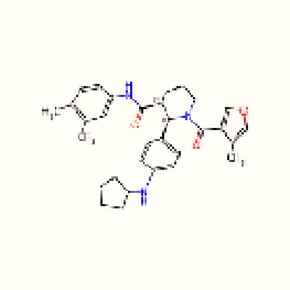 Cc1cocc1C(=O)N1CCC[C@H](C(=O)Nc2ccc(C)c(C(F)(F)F)c2)[C@@H]1c1ccc(NC2CCCC2)cc1